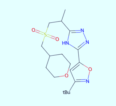 CC(CS(=O)(=O)CC1CCOCC1)c1nnc(-c2cc(C(C)(C)C)no2)[nH]1